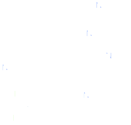 CCN(c1ccc(C#N)c(C(F)(F)F)c1)C1CCCN(c2ccncn2)C1